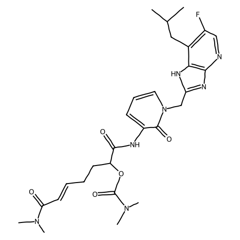 CC(C)Cc1c(F)cnc2nc(Cn3cccc(NC(=O)C(CCC=CC(=O)N(C)C)OC(=O)N(C)C)c3=O)[nH]c12